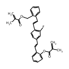 C=C(C)C(=O)OCc1ccccc1/C=C/c1ccc(/C=C/c2ccccc2OC(=O)C(=C)C)cc1F